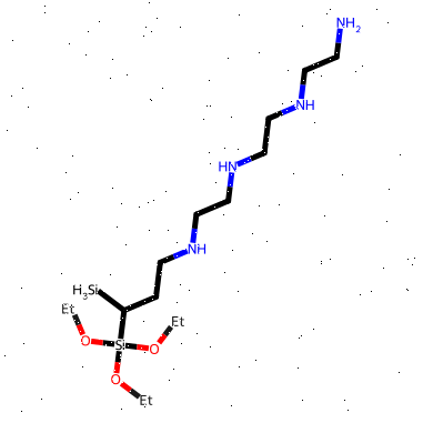 CCO[Si](OCC)(OCC)C([SiH3])CCNCCNCCNCCN